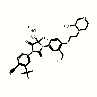 CCc1cc(N2C(=S)N(c3ccc(C#N)c(C(F)(F)F)c3)C(=O)C2(C)C)ccc1OCCN1CCNC[C@@H]1C.Cl.Cl